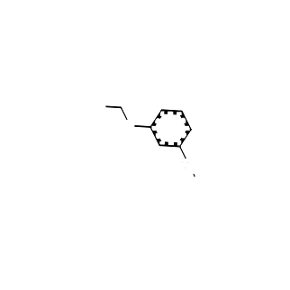 CCSc1ccc[c]([Mg][Br])c1